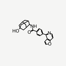 O=C(NC1C2CC3CC1CC(O)(C3)C2)c1ccc(-c2nccc3occc23)cc1